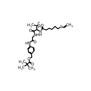 C=CSCCCCCC(=O)NC(C(=O)NCC(=O)Nc1ccc(COC(=O)C(C)(C)C)cc1)C(C)C